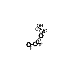 O=C(O)COC1(c2ccc(OCc3cc(-c4ccccc4F)ccc3C(F)(F)F)cc2)COC1